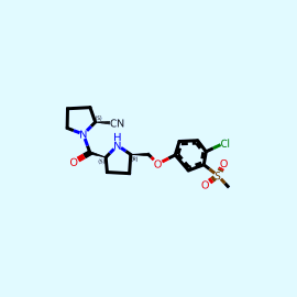 CS(=O)(=O)c1cc(OC[C@H]2CC[C@@H](C(=O)N3CCC[C@H]3C#N)N2)ccc1Cl